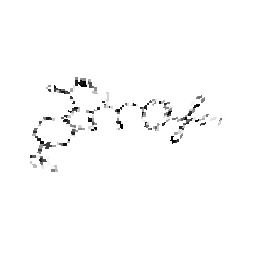 CN1CCc2c(sc(NC(=O)Cc3ccc(S(C)(=O)=O)cc3)c2C(N)=O)C1